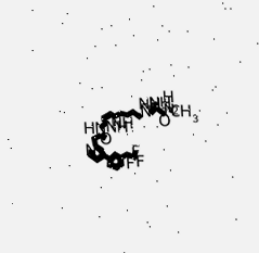 CNC(=O)/C(N)=C/N(N)CCCCC(=N)/C=C\C(=N)NC(=O)Cc1cc(-c2cccc(CC(F)(F)F)c2)ccn1